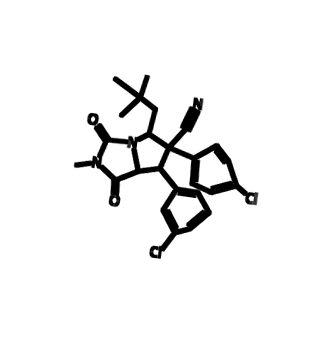 CN1C(=O)C2C(c3cccc(Cl)c3)C(C#N)(c3ccc(Cl)cc3)C(CC(C)(C)C)N2C1=O